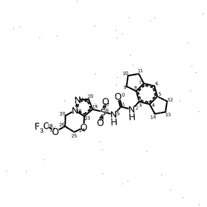 O=C(Nc1c2c(cc3c1CCC3)CCC2)NS(=O)(=O)c1cnn2c1OCC(OC(F)(F)F)C2